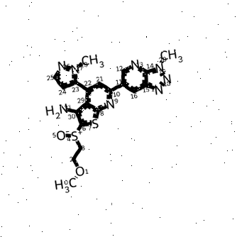 COCC[S+]([O-])c1sc2nc(-c3cnc4c(c3)nnn4C)cc(-c3ccnn3C)c2c1N